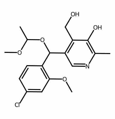 COc1cc(Cl)ccc1C(OC(C)OC)c1cnc(C)c(O)c1CO